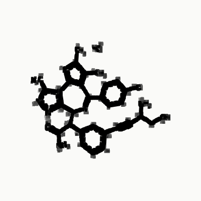 Cc1sc2c(c1C)C(c1ccc(Cl)cc1)=N[C@@H](C(C(N)=O)c1cccc(C#CC(N)CO)c1)c1nnc(C)n1-2.Cl